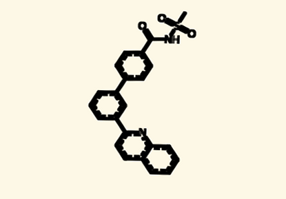 CS(=O)(=O)NC(=O)c1ccc(-c2cccc(-c3ccc4ccccc4n3)c2)cc1